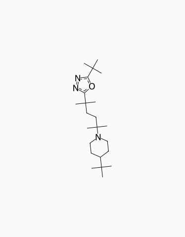 CC(C)(C)c1nnc(C(C)(C)CCC(C)(C)N2CCC(C(C)(C)C)CC2)o1